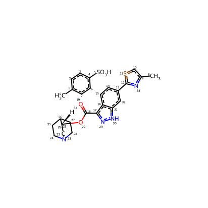 Cc1ccc(S(=O)(=O)O)cc1.Cc1csc(-c2ccc3c(C(=O)O[C@@H]4CN5CCC4CC5)n[nH]c3c2)n1